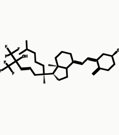 C=C1CC[C@H](O)C/C1=C/C=C1CCC[C@@]2(C)C1CC[C@@H]2[C@@](C)(C/C=C/C(O)(C(F)(F)F)C(F)(F)F)CCCC(C)C